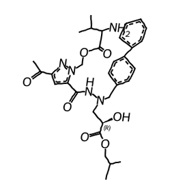 CC(=O)c1cc(C(=O)NN(Cc2ccc(-c3ccccc3)cc2)C[C@@H](O)C(=O)OCC(C)C)n(COC(=O)C(N)C(C)C)n1